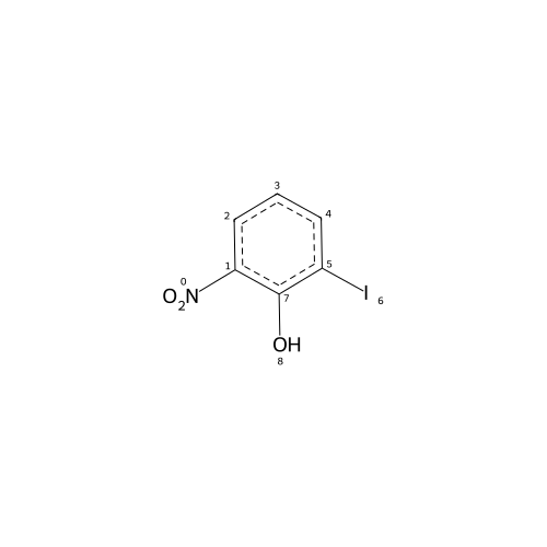 O=[N+]([O-])c1cccc(I)c1O